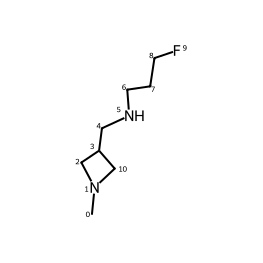 CN1CC(CNCCCF)C1